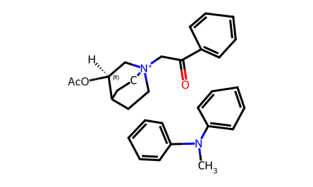 CC(=O)O[C@H]1C[N+]2(CC(=O)c3ccccc3)CCC1CC2.CN(c1ccccc1)c1ccccc1